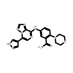 NC(=O)c1cc(Nc2ncc(-c3cn[nH]c3)n3ncnc23)ccc1N1CCOCC1